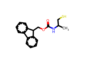 CC(CS)NC(=O)OCC1c2ccccc2-c2ccccc21